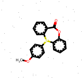 COc1ccc([S+]2c3ccccc3OC(=O)c3ccccc32)cc1